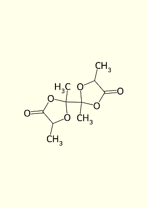 CC1OC(C)(C2(C)OC(=O)C(C)O2)OC1=O